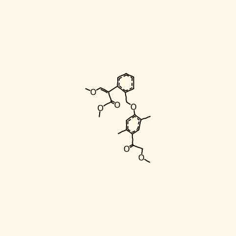 COC=C(C(=O)OC)c1ccccc1COc1cc(C)c(C(=O)COC)cc1C